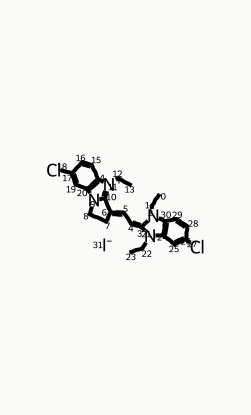 CCN1C(=CC=C2CCn3c2[n+](CC)c2ccc(Cl)cc23)N(CC)c2cc(Cl)ccc21.[I-]